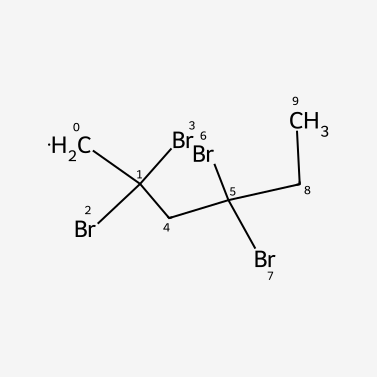 [CH2]C(Br)(Br)CC(Br)(Br)CC